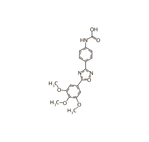 COc1cc(-c2nc(-c3ccc(NC(=O)O)cc3)no2)cc(OC)c1OC